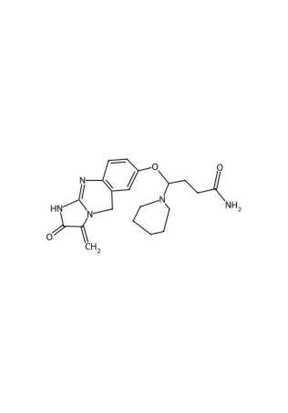 C=c1c(=O)[nH]c2n1Cc1cc(OC(CCC(N)=O)N3CCCCC3)ccc1N=2